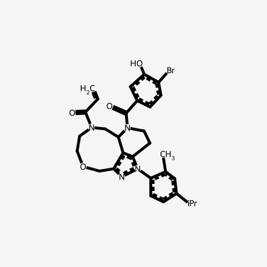 C=CC(=O)N1CCOCc2nn(-c3ccc(C(C)C)cc3C)c3c2C(C1)N(C(=O)c1ccc(Br)c(O)c1)CC3